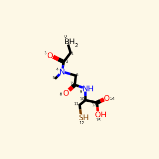 BCC(=O)N(C)CC(=O)NC(CS)C(=O)O